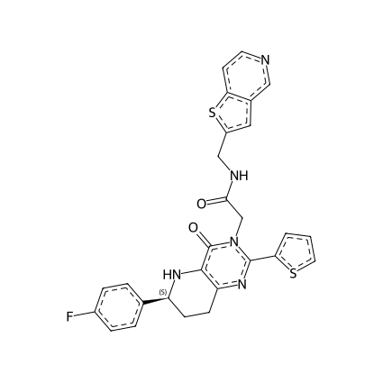 O=C(Cn1c(-c2cccs2)nc2c(c1=O)N[C@H](c1ccc(F)cc1)CC2)NCc1cc2cnccc2s1